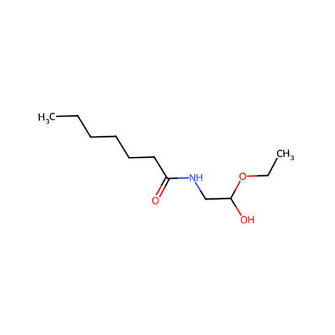 CCCCCCC(=O)NCC(O)OCC